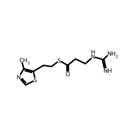 Cc1ncsc1CCSC(=O)CCNC(=N)N